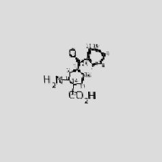 NC1CC(C(=O)c2ccccc2)CCC1C(=O)O